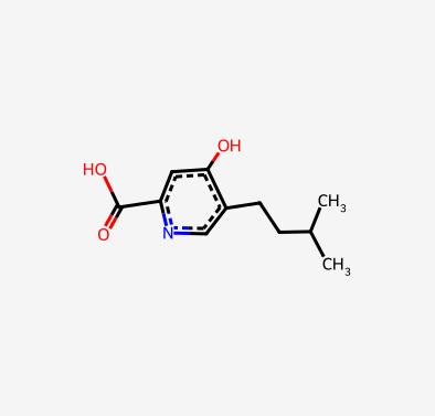 CC(C)CCc1cnc(C(=O)O)cc1O